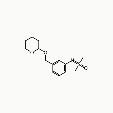 CS(C)(=O)=Nc1cccc(COC2CCCCO2)c1